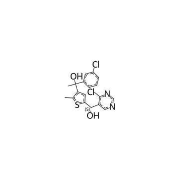 Cc1sc([C@@H](O)c2cncnc2Cl)cc1C(C)(O)c1cccc(Cl)c1